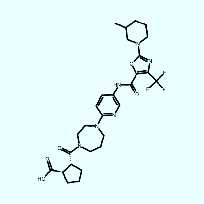 CC1CCCN(c2nc(C(F)(F)F)c(C(=O)Nc3ccc(N4CCCN(C(=O)[C@@H]5CCC[C@H]5C(=O)O)CC4)nc3)o2)C1